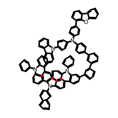 c1ccc(N(c2ccccc2)c2ccccc2-c2ccc3c(c2)c2cc(-c4ccc(-c5cccc(-c6cccc(-c7ccc(N(c8ccc(-c9cccc%10c9oc9ccccc9%10)cc8)c8ccc(-n9c%10ccccc%10c%10ccccc%109)cc8)cc7)c6)c5)cc4N(c4ccccc4)c4ccccc4)ccc2n3-c2ccc3ccccc3c2)cc1